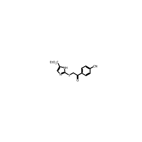 CCOC(=O)c1cnc(SCC(=O)c2ccc(C#N)cc2)[nH]1